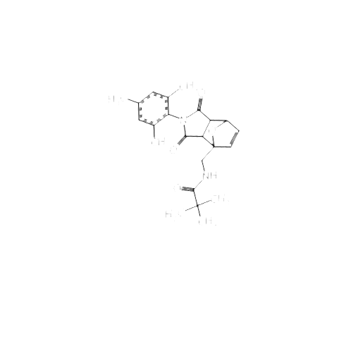 Cc1cc(C)c(N2C(=O)C3C4C=CC(CNC(=O)C(C)(C)C)(O4)C3C2=O)c(C)c1